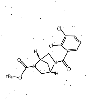 CC(C)(C)OC(=O)N1C[C@@H]2C[C@H]1CN2C(=O)c1cccc(Cl)c1Cl